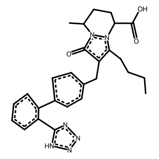 CCCCc1c(Cc2ccc(-c3ccccc3-c3nnn[nH]3)cc2)c(=O)n2n1C(C(=O)O)CCC2C